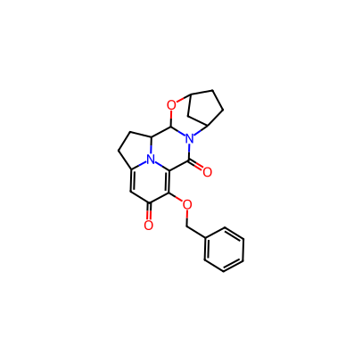 O=C1c2c(OCc3ccccc3)c(=O)cc3n2C(CC3)C2OC3CCC(C3)N12